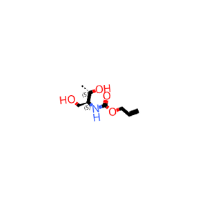 C=CCOC(=O)N[C@@H](CO)[C@H](C)O